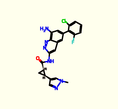 Cn1cc([C@H]2C[C@@H]2C(=O)Nc2cc3cc(-c4c(F)cccc4Cl)cc(N)c3nn2)cn1